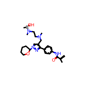 C=C(C)C(=O)Nc1ccc(-c2nn(C3CCCCO3)cc2CN(C)CCN(C)B(C)O)cc1